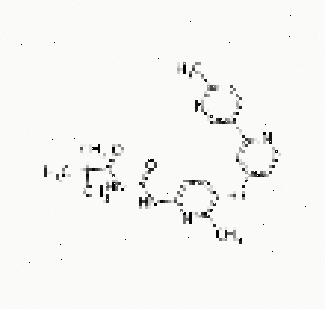 Cc1ccc(-c2cc(Oc3ccc(NC(=O)NC(=O)C(C)(C)C)nc3C)ccn2)cn1